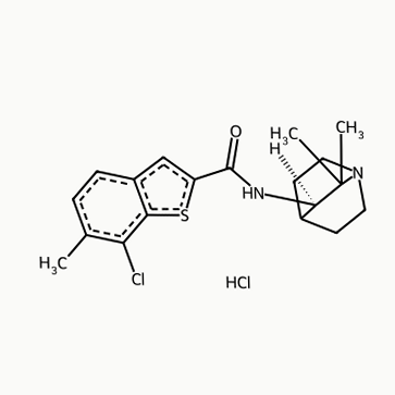 Cc1ccc2cc(C(=O)N[C@@H]3C4CCN(CC4)C3(C)C)sc2c1Cl.Cl